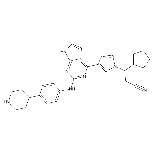 N#CCC(C1CCCC1)n1cc(-c2nc(Nc3ccc(C4CCNCC4)cc3)nc3[nH]ccc23)cn1